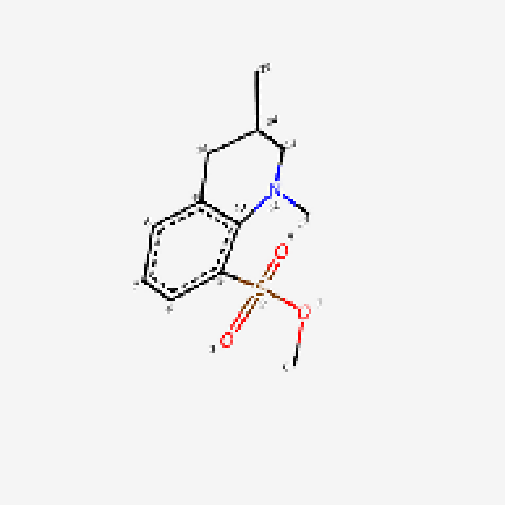 COS(=O)(=O)c1cccc2c1N(C)CC(C)C2